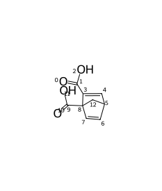 O=C(O)C1=CC2C=CC1(C(=O)O)C2